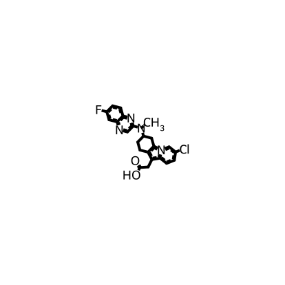 CN(c1cnc2cc(F)ccc2n1)C1CCc2c(CC(=O)O)c3ccc(Cl)cn3c2C1